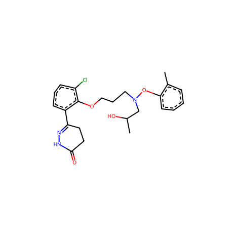 Cc1ccccc1ON(CCCOc1c(Cl)cccc1C1=NNC(=O)CC1)CC(C)O